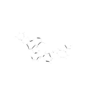 Cc1ccc2c(N[C@H]3CCCC[C@@H]3O)cccc2c1Oc1ncccc1-c1ccnc(N[C@H]2CCCN(C(=O)OC(C)(C)C)C2)n1